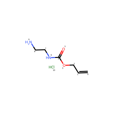 C=CCOC(=O)NCCN.Cl